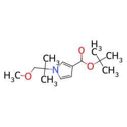 COCC(C)(C)n1ccc(C(=O)OC(C)(C)C)c1